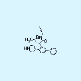 CC(C)CC(C(=O)NCC#N)c1cc(-c2ccccc2)ccc1C1=CCNCC1